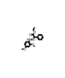 CCOC(=O)/C(=N\Nc1ccc(OC)cc1OC)c1ccccc1